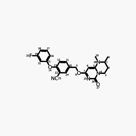 CC1CCn2c(cc(OCc3ccc(Oc4cccc(F)c4)c(C#N)c3)nc2=O)N1C